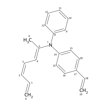 C=C/C=C\C=C(/C)N(c1ccccc1)c1ccc(C=C)cc1